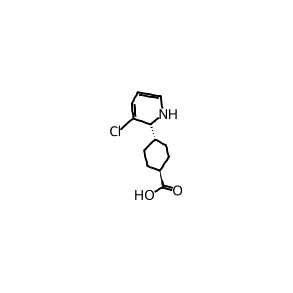 O=C(O)[C@H]1CC[C@H](C2NC=CC=C2Cl)CC1